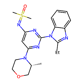 CCc1nc2ccccc2n1-c1nc(N=S(C)(C)=O)cc(N2CCOC[C@H]2C)n1